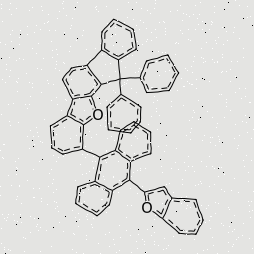 c1ccc(C2(c3ccccc3)c3ccccc3-c3ccc4c(oc5c(-c6c7ccccc7c(-c7cc8ccccc8o7)c7ccccc67)cccc54)c32)cc1